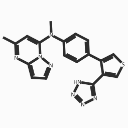 Cc1cc(N(C)c2ccc(-c3cscc3-c3nnn[nH]3)cc2)n2nccc2n1